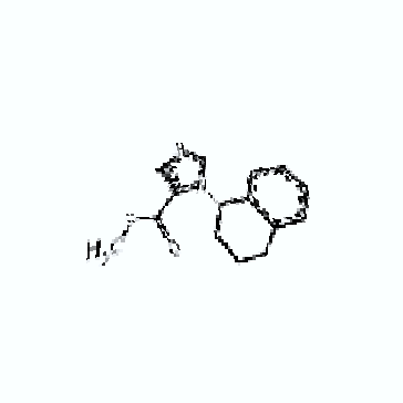 COC(=O)c1cncn1[C@H]1CCCc2ccccc21